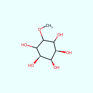 COC1C(O)[C@@H](O)[C@@H](O)[C@@H](O)C1O